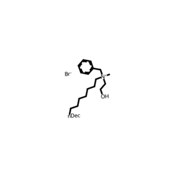 CCCCCCCCCCCCCCCCC[N+](C)(CCO)Cc1ccccc1.[Br-]